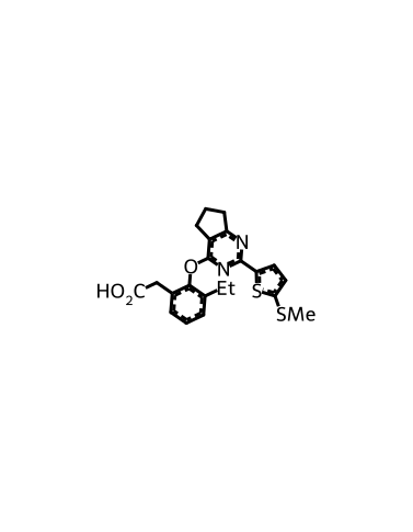 CCc1cccc(CC(=O)O)c1Oc1nc(-c2ccc(SC)s2)nc2c1CCC2